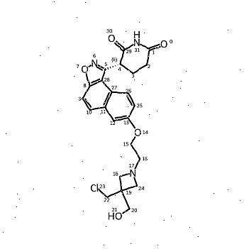 O=C1CC[C@H](c2noc3ccc4cc(OCCN5CC(CO)(CCl)C5)ccc4c23)C(=O)N1